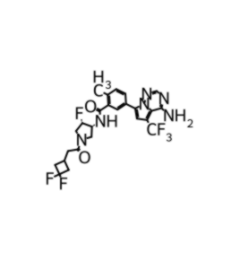 Cc1ccc(-c2cc(C(F)(F)F)c3c(N)ncnn23)cc1C(=O)N[C@@H]1CN(C(=O)CC2CC(F)(F)C2)C[C@@H]1F